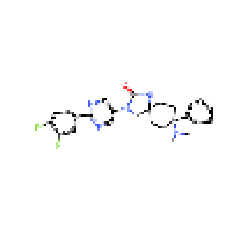 CN(C)[C@]1(c2ccccc2)CC[C@@]2(CC1)CN(c1cnc(-c3ccc(F)c(F)c3)nc1)C(=O)N2